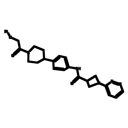 CCOCC(=O)N1CCC(c2ccc(NC(=O)C3CN(c4cccnn4)C3)cc2)CC1